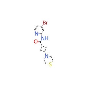 O=C(Nc1cc(Br)ccn1)C1CC(N2CCSCC2)C1